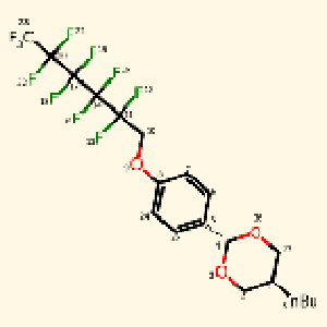 CCCC[C@H]1CO[C@H](c2ccc(OCC(F)(F)C(F)(F)C(F)(F)C(F)(F)C(F)(F)F)cc2)OC1